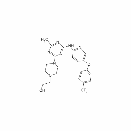 Cc1nc(Nc2ccc(Oc3ccc(C(F)(F)F)cc3)cn2)nc(N2CCN(CCO)CC2)n1